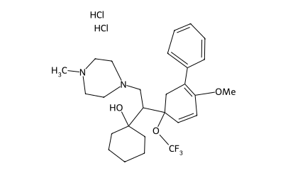 COC1=C(c2ccccc2)CC(OC(F)(F)F)(C(CN2CCN(C)CC2)C2(O)CCCCC2)C=C1.Cl.Cl